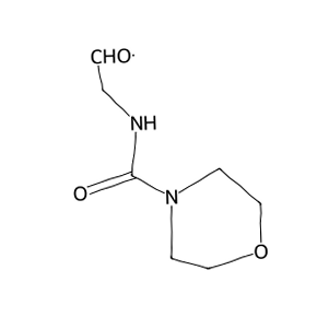 O=[C]CNC(=O)N1CCOCC1